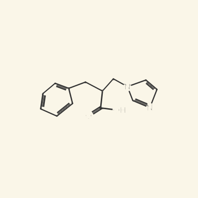 O=C(O)C(Cc1ccccc1)Cn1ccnc1